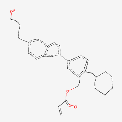 C=CC(=O)OCc1cc(-c2ccc3cc(CCCO)ccc3c2)ccc1C1CCCCC1